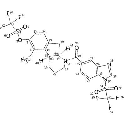 Cc1c(OS(=O)(=O)C(F)(F)F)ccc2c1[C@@H]1CCCN(C(=O)c3ccc4c(c3)ncn4S(=O)(=O)C(F)(F)F)[C@@H]1C2